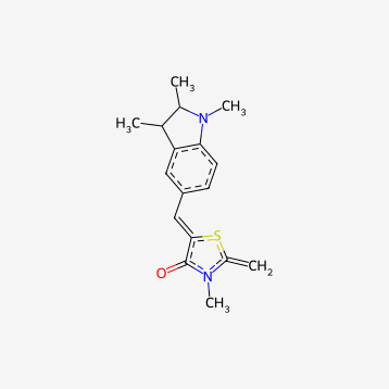 C=c1s/c(=C\c2ccc3c(c2)C(C)C(C)N3C)c(=O)n1C